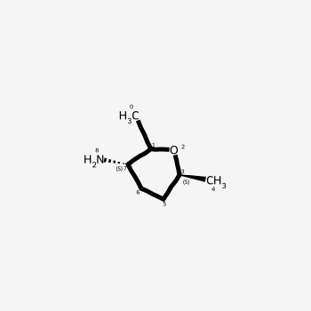 CC1O[C@@H](C)CC[C@@H]1N